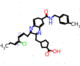 CC/C=C(Cl)\C=C/Cc1nc2c(nc1CC1CCC(C(=O)O)C1)=CC(C(=O)NCc1ccc(C)cc1)CC=2